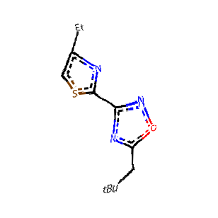 CCc1csc(-c2noc(CC(C)(C)C)n2)n1